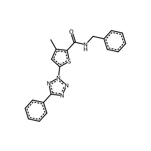 Cc1cc(-n2nnc(-c3ccccc3)n2)sc1C(=O)NCc1ccccc1